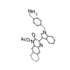 CC(=O)On1c(=O)c(-c2cn(Cc3ccc(CN)cc3)c3ccccc23)nc2cc3c(cc21)CCCC3